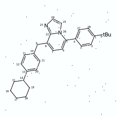 CC(C)(C)c1ccc(-c2ccc(Cc3ccc(C4CCCCC4)cc3)c3nccn23)cc1